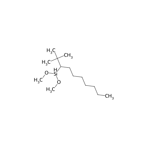 CCCCCCCC([SiH](OC)OC)C(C)(C)C